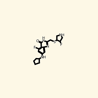 O=c1[nH]c(CSC2CNCC2F)nc2cc(NC3CCCC3)cc(F)c12